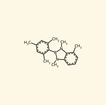 Cc1cc(C)c(B2N(C)c3cccc(C)c3N2C)c(C)c1